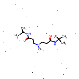 CC(C)NC(=O)CCN(C)CCC(=O)NC(C)(C)C